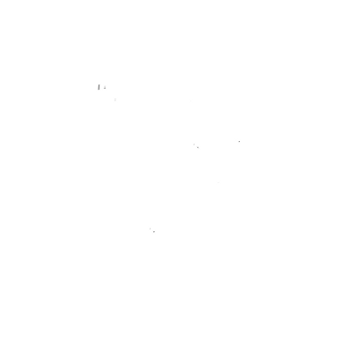 Br.Br.CN1CCC(C(=O)c2nc3ccccc3n2CCc2ccccc2)CC1